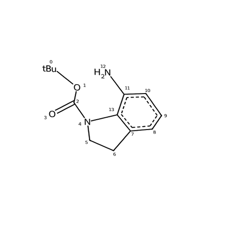 CC(C)(C)OC(=O)N1CCc2cccc(N)c21